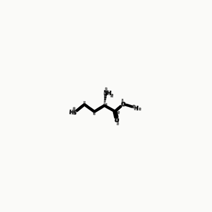 [2H]OC(=O)[C@@H](N)CCS